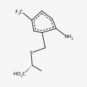 C[C@@H](SCc1cc(C(F)(F)F)ccc1N)C(=O)O